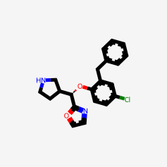 Clc1ccc(O[C@H](c2ncco2)C2CCNC2)c(Cc2ccccc2)c1